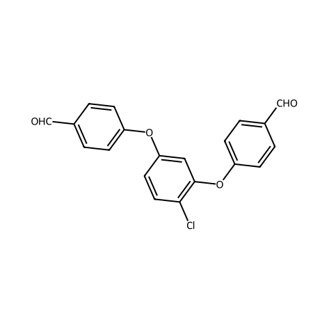 O=Cc1ccc(Oc2ccc(Cl)c(Oc3ccc(C=O)cc3)c2)cc1